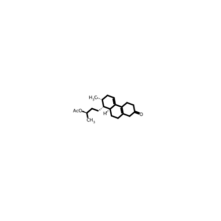 CC(=O)O[C@H](C)CC[C@@H]1[C@H](C)CC=C2C3=C(CC[C@H]21)CC(=O)CC3